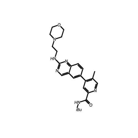 CCC(C)NC(=O)c1cc(-c2ccc3nc(NCCN4CCOCC4)ncc3c2)c(C)cn1